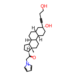 C[C@]12CCC3[C@H]4CC[C@](O)(C#CCCO)C[C@H]4CC[C@H]3[C@@H]1CC[C@@H]2C(=O)Cn1cccc1